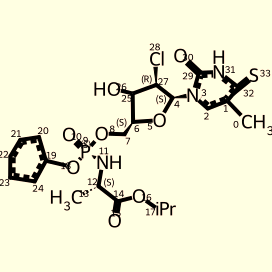 Cc1cn([C@H]2O[C@@H](CO[P@@](=O)(N[C@@H](C)C(=O)OC(C)C)Oc3ccccc3)C(O)[C@H]2Cl)c(=O)[nH]c1=S